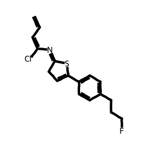 C=C/C=C(Cl)\N=C1/CC=C(c2ccc(CCCF)cc2)S1